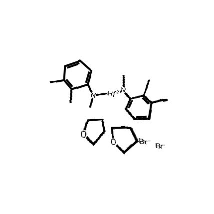 C1CCOC1.C1CCOC1.Cc1cccc([N](C)[Hf+2][N](C)c2cccc(C)c2C)c1C.[Br-].[Br-]